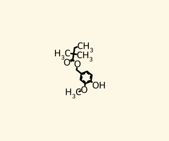 CCC(C)(C)C(=O)OCc1ccc(O)c(OC)c1